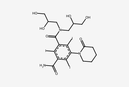 NC(=O)c1c(I)c(C(=O)N(CC(O)CO)CC(O)CO)c(I)c(N2CCCCC2=O)c1I